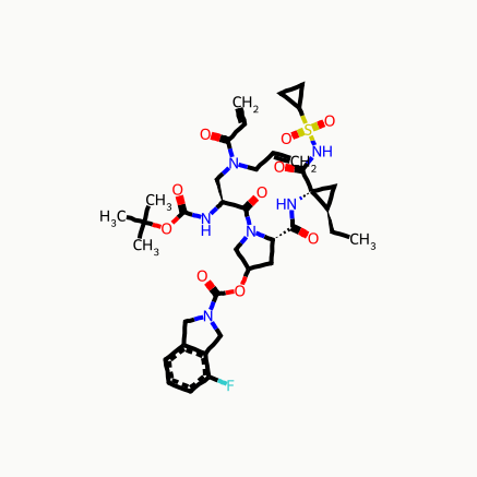 C=CCN(C[C@H](NC(=O)OC(C)(C)C)C(=O)N1CC(OC(=O)N2Cc3cccc(F)c3C2)C[C@H]1C(=O)N[C@]1(C(=O)NS(=O)(=O)C2CC2)C[C@H]1CC)C(=O)C=C